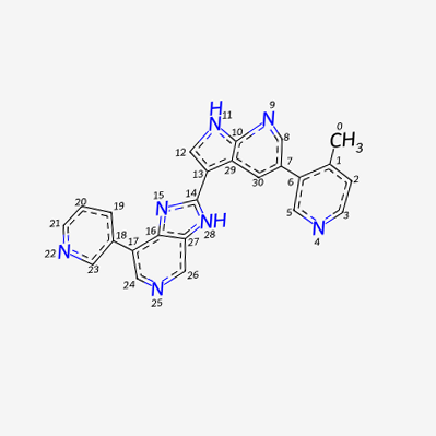 Cc1ccncc1-c1cnc2[nH]cc(-c3nc4c(-c5cccnc5)cncc4[nH]3)c2c1